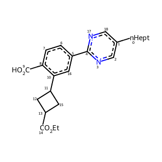 CCCCCCCc1cnc(-c2ccc(C(=O)O)c(C3CC(C(=O)OCC)C3)c2)nc1